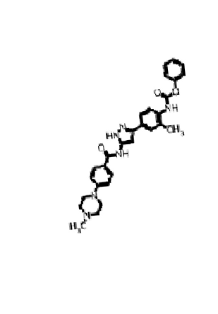 Cc1cc(-c2cc(NC(=O)c3ccc(N4CCN(C)CC4)cc3)[nH]n2)ccc1NC(=O)Oc1ccccc1